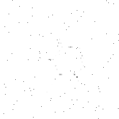 Oc1c(Cl)ncnc1I